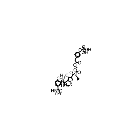 CCCNC(=O)c1ccc(C)c(NC2=NC=NN3CC(C(=O)N(C(=O)OCOC(=O)Cc4ccc(OP(=O)(O)O)cc4)C4CC4)C(C)=C23)c1